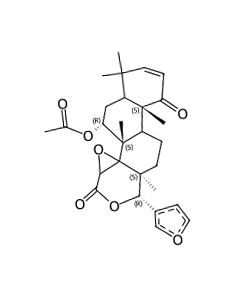 CC(=O)O[C@@H]1CC2C(C)(C)C=CC(=O)[C@]2(C)C2CC[C@@]3(C)[C@H](c4ccoc4)OC(=O)C4OC43[C@@]21C